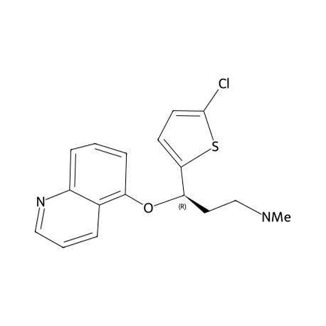 CNCC[C@@H](Oc1cccc2ncccc12)c1ccc(Cl)s1